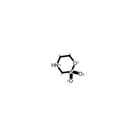 O=S1(=O)CNCCO1